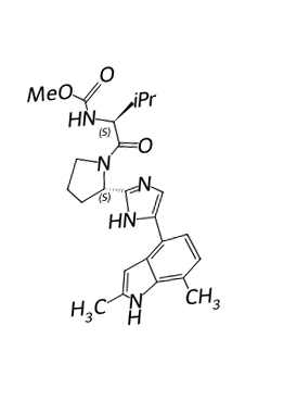 COC(=O)N[C@H](C(=O)N1CCC[C@H]1c1ncc(-c2ccc(C)c3[nH]c(C)cc23)[nH]1)C(C)C